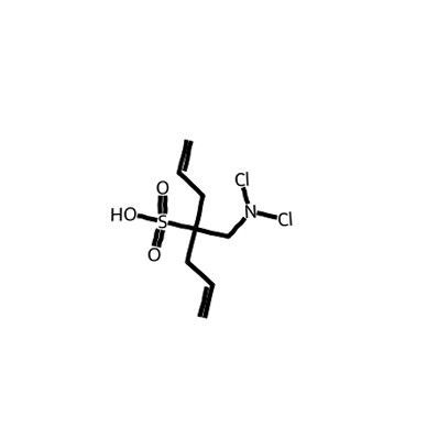 C=CCC(CC=C)(CN(Cl)Cl)S(=O)(=O)O